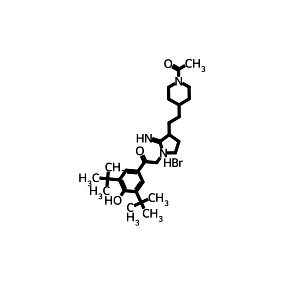 Br.CC(=O)N1CCC(CCC2CCN(CC(=O)c3cc(C(C)(C)C)c(O)c(C(C)(C)C)c3)C2=N)CC1